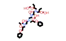 CCOC(COc1ccccc1)CN(CO)CCN(CCN(CO)CCN(CC(CC)OCO)CC(CC)OCO)CC(COc1ccccc1)OCO